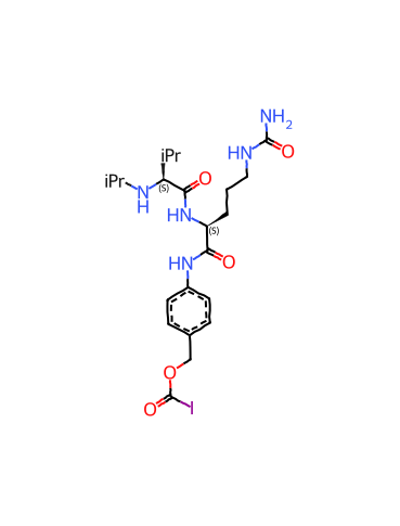 CC(C)N[C@H](C(=O)N[C@@H](CCCNC(N)=O)C(=O)Nc1ccc(COC(=O)I)cc1)C(C)C